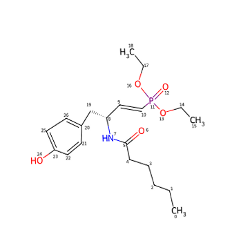 CCCCCC(=O)N[C@@H](/C=C/P(=O)(OCC)OCC)Cc1ccc(O)cc1